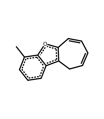 Cc1cccc2c3c(oc12)C=CC=CC3